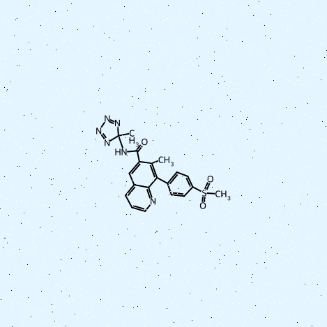 Cc1c(C(=O)NC2(C)N=NN=N2)cc2cccnc2c1-c1ccc(S(C)(=O)=O)cc1